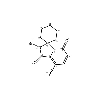 Cc1ccc(=O)n2c1C(=O)N(Br)C21CCCCC1